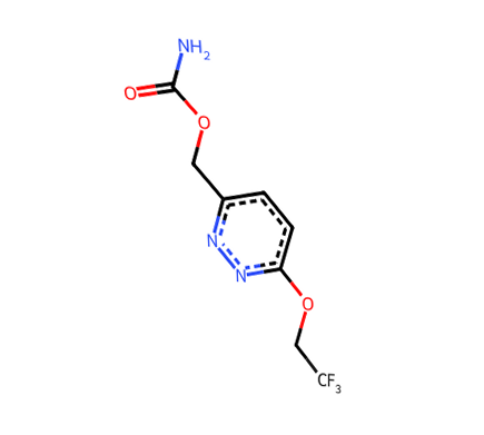 NC(=O)OCc1ccc(OCC(F)(F)F)nn1